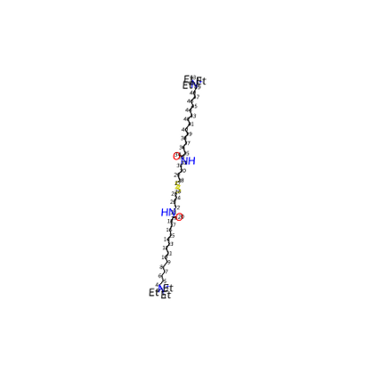 CC[N+](CC)(CC)CCCCCCCCCCCCCCCC(=O)NCCCCSSCCCCNC(=O)CCCCCCCCCCCCCCC[N+](CC)(CC)CC